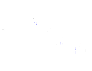 CCCCCCN(C)c1ccc(/C=C2\SC(=S)N(CCNC(C)=O)C2=O)cc1